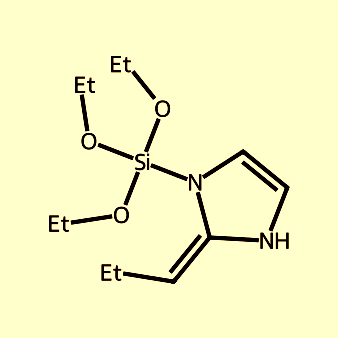 CCC=C1NC=CN1[Si](OCC)(OCC)OCC